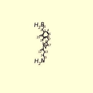 BCCc1ccc(CC2CN(C(C)CCCN)C2)c(C)c1C